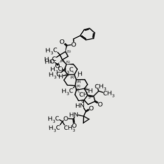 CC(C)C1=C2[C@H]3CC[C@@H]4[C@]5(C)CC[C@H]([C@]6(C(=O)O)C[C@H](C(=O)OCc7ccccc7)C6(C)C)C(C)(C)[C@H]5CC[C@@]4(C)[C@]3(C)CC[C@@]2(NC(=O)C2(NC(=O)OC(C)(C)C)CC2)CC1=O